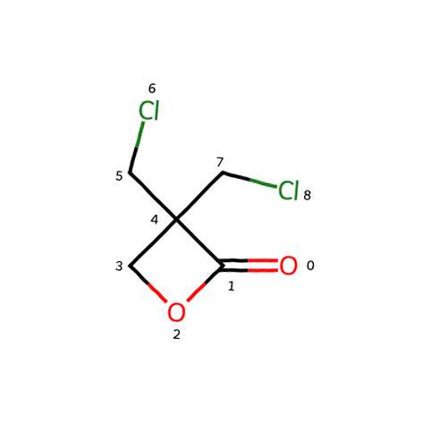 O=C1OCC1(CCl)CCl